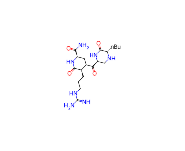 CCCC[C@@H]1NC[C@@H](C(=O)C2C[C@H](C(N)=O)NC(=O)[C@@H]2CCCNC(=N)N)NC1=O